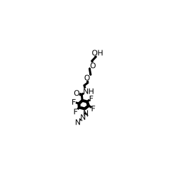 [N-]=[N+]=Nc1c(F)c(F)c(C(=O)NCCOCCOCCO)c(F)c1F